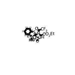 CCOC(=O)CN(C(=O)C(F)(F)F)C(Sc1ccccc1)(N(CC)CC)P(=O)(O)O